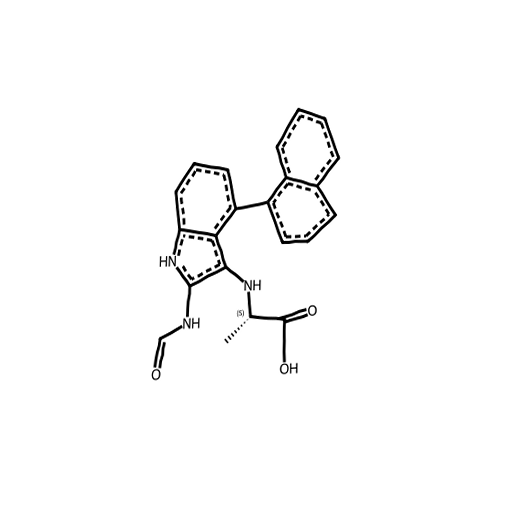 C[C@H](Nc1c(NC=O)[nH]c2cccc(-c3cccc4ccccc34)c12)C(=O)O